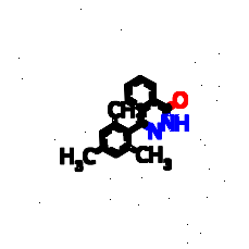 Cc1cc(C)c(-c2n[nH]c(=O)c3ccccc23)c(C)c1